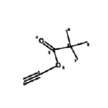 C#COC(=O)C(C)(C)C